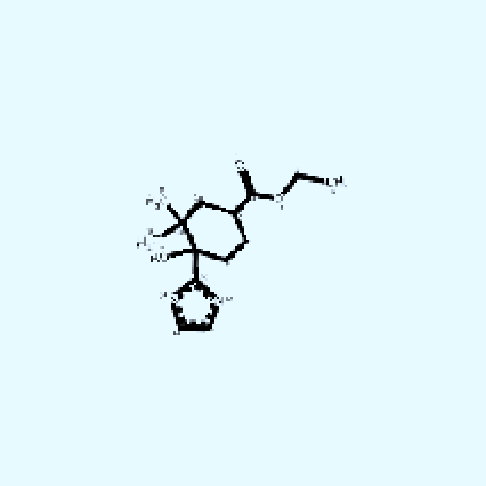 CCOC(=O)C1CCC(O)(c2nccs2)C(C)(C)C1